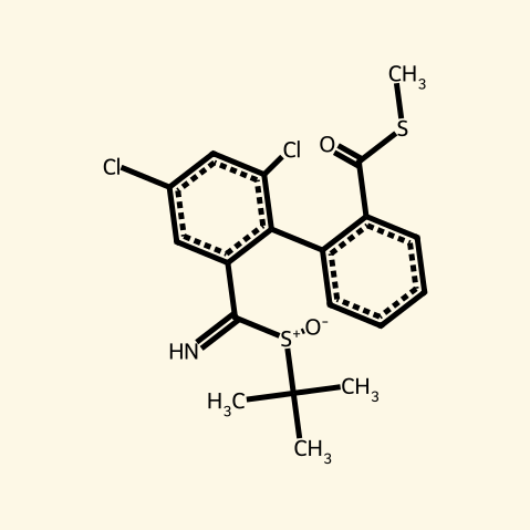 CSC(=O)c1ccccc1-c1c(Cl)cc(Cl)cc1C(=N)[S+]([O-])C(C)(C)C